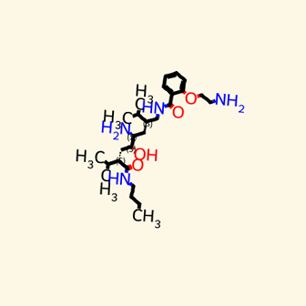 CCCCNC(=O)[C@@H](C[C@H](O)[C@@H](N)C[C@H](CNC(=O)c1ccccc1OCCN)C(C)C)C(C)C